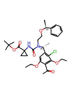 CCOc1cc([C@@H](C)N(CCO[C@@H](C)c2ccccc2)C(=O)NC2(C(=O)OC(C)(C)C)CC2)c(Cl)c(OCC)c1C(C)=O